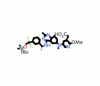 COc1ncc(N(C)c2ccc3nc(C)nc(N[C@H](C)c4cccc(C(F)(F)CO[Si](C)(C)C(C)(C)C)c4)c3c2)cc1CC(=O)O